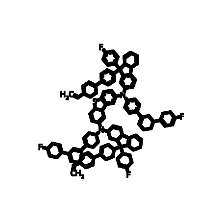 C=CC1=CC=C(c2ccc(C3(c4ccc(F)cc4)c4cc(N(c5ccc(C6=CCCC(C7=CC=C(F)CC7)C6)cc5)c5ccc6c(c5)C5C=C(N(C7C=CC8C9=C(CCC=C9)C(C9CC=C(F)CC9)(C9CC=C(C%10=CCC(C=C)C=C%10)CC9)C8C7)C7CC=C(C8=CC(C9=CCC(F)CC9)=CCC8)CC7)C=CC5S6)ccc4C4C=CC=CC43)cc2)CC1